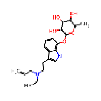 C=CCN(CC)CCc1c[nH]c2c(OC3OC(C)C(O)C(O)C3O)cccc12